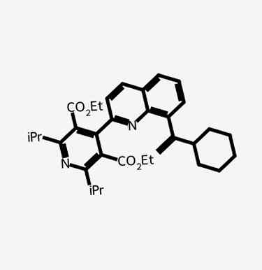 C=C(c1cccc2ccc(-c3c(C(=O)OCC)c(C(C)C)nc(C(C)C)c3C(=O)OCC)nc12)C1CCCCC1